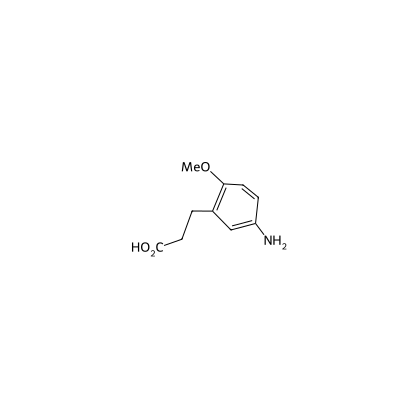 COc1ccc(N)cc1CCC(=O)O